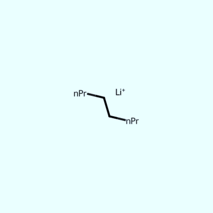 [CH2-]CCCCCCC.[Li+]